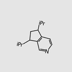 CC(C)C1CC(C(C)C)c2cnccc21